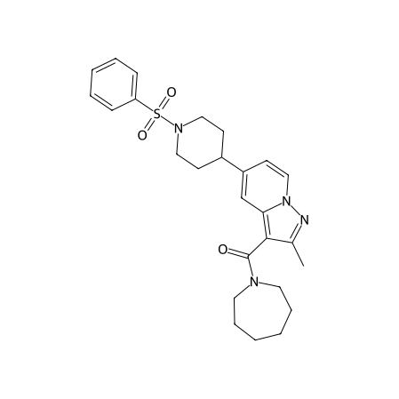 Cc1nn2ccc(C3CCN(S(=O)(=O)c4ccccc4)CC3)cc2c1C(=O)N1CCCCCC1